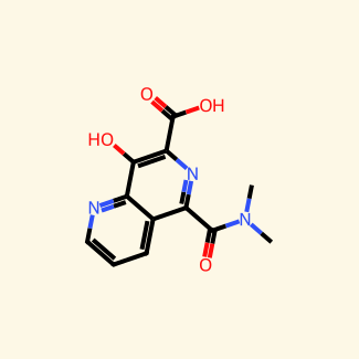 CN(C)C(=O)c1nc(C(=O)O)c(O)c2ncccc12